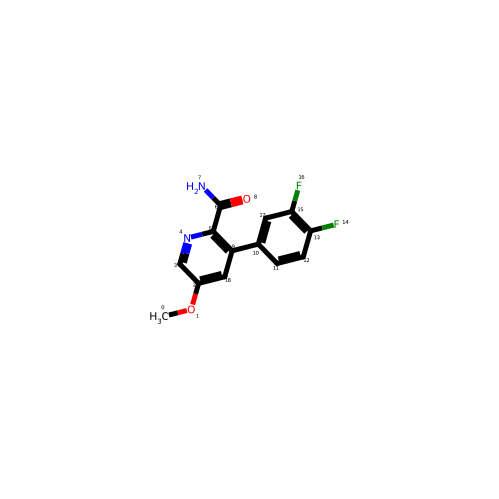 COc1cnc(C(N)=O)c(-c2ccc(F)c(F)c2)c1